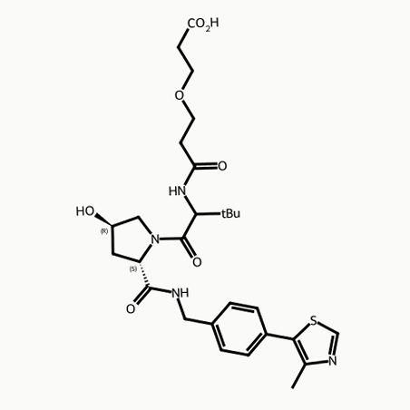 Cc1ncsc1-c1ccc(CNC(=O)[C@@H]2C[C@@H](O)CN2C(=O)C(NC(=O)CCOCCC(=O)O)C(C)(C)C)cc1